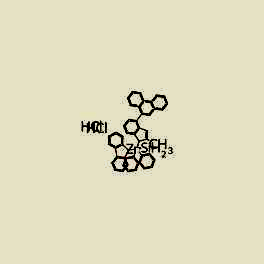 CC1=Cc2c(-c3cc4ccccc4c4ccccc34)cccc2[CH]1[Zr](=[SiH2])([c]1ccccc1)([c]1ccccc1)[CH]1c2ccccc2-c2ccccc21.Cl.Cl